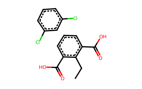 CCc1c(C(=O)O)cccc1C(=O)O.Clc1cccc(Cl)c1